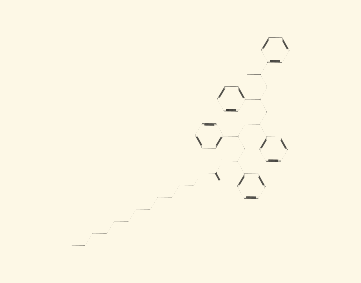 CCCCCCCCCCCCSC(=S)SC(CC(CC(CC(CC(C)c1ccccc1)c1ccccc1)c1ccccc1)c1ccccc1)c1ccccc1